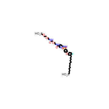 O=C(O)CCCCCCCCCCCCCc1cc(Oc2ccc(S(=O)(=O)Nc3ccc(C(=O)NCCOCC(=O)NCCOCCOCC(=O)O)cn3)cc2)ccc1F